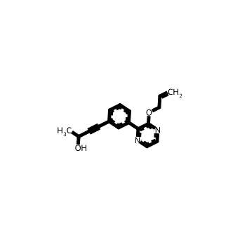 C=CCOc1nccnc1-c1cccc(C#CC(C)O)c1